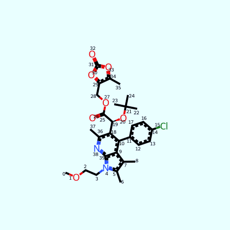 COCCn1c(C)c(C)c2c(-c3ccc(Cl)cc3)c([C@H](OC(C)(C)C)C(=O)OCc3oc(=O)oc3C)c(C)nc21